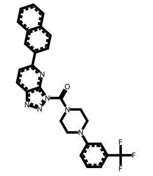 O=C(N1CCN(c2cccc(C(F)(F)F)c2)CC1)n1nnc2ccc(-c3ccc4ccccc4c3)nc21